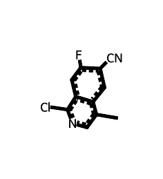 Cc1cnc(Cl)c2cc(F)c(C#N)cc12